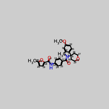 COc1ccc(C2(N(C)C(=O)c3ccc(NC(=O)c4ccc(C)o4)cc3)CCOCC2)cc1